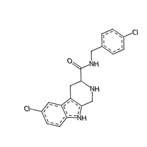 O=C(NCc1ccc(Cl)cc1)C1Cc2c([nH]c3ccc(Cl)cc23)CN1